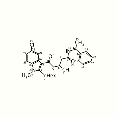 CCCCCCc1c(C(=O)CC(C)CC(=O)NC(C)c2ccccc2)c2cc(Cl)ccc2n1C